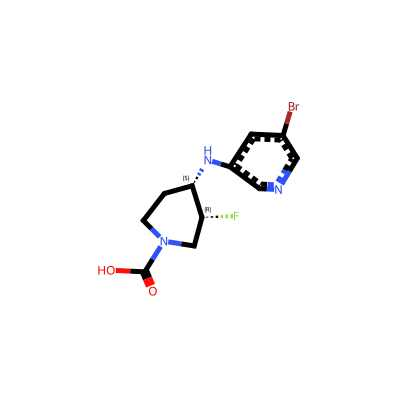 O=C(O)N1CC[C@H](Nc2cncc(Br)c2)[C@H](F)C1